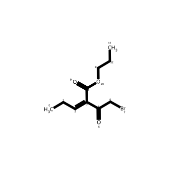 CCC=C(C(=O)CBr)C(=O)OCCC